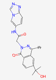 CC(C)c1nn(CC(=O)Nc2ccc3nncn3c2)c(=O)c2ccc(C(C)(C)O)cc12